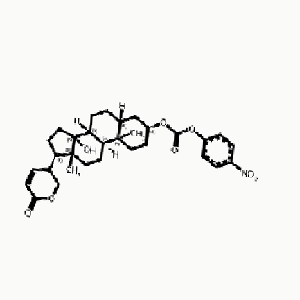 C[C@]12CC[C@H](OC(=O)Oc3ccc([N+](=O)[O-])cc3)C[C@H]1CC[C@@H]1[C@@H]2CC[C@]2(C)[C@@H](C3C=CC(=O)OC3)CC[C@]12O